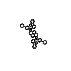 c1ccc2c(c1)oc1c(N(c3ccc(C4CCCCC4)cc3)c3ccc4ccc5c(N(c6ccc(C7CCCCC7)cc6)c6cccc7c6oc6ccccc67)ccc6ccc3c4c65)cccc12